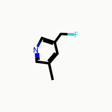 Cc1cncc(CF)c1